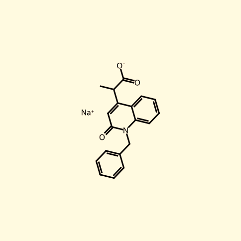 CC(C(=O)[O-])c1cc(=O)n(Cc2ccccc2)c2ccccc12.[Na+]